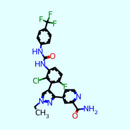 CCn1cc(-c2c(F)ccc(NC(=O)Nc3ccc(C(F)(F)F)cc3)c2Cl)c(-c2ccnc(C(N)=O)c2)n1